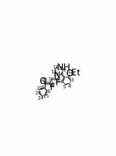 CCOc1ccccc1C1CNCCN1C(F)CC(F)C(=O)c1ccccc1